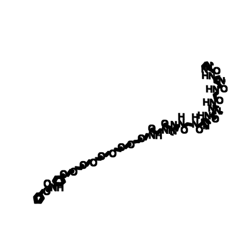 Cn1cc(NC(=O)c2nc(NC(=O)CCNC(=O)c3cc(NC(=O)c4nccn4C)cn3C)cn2C)cc1C(=O)NCCC(=O)Nc1cn(C)c(C(=O)NCCC(=O)NCCOCCOCCOCCOCCOCCOCCOCCOCCOc2ccc(NC(=O)OCc3ccccc3)cc2)n1